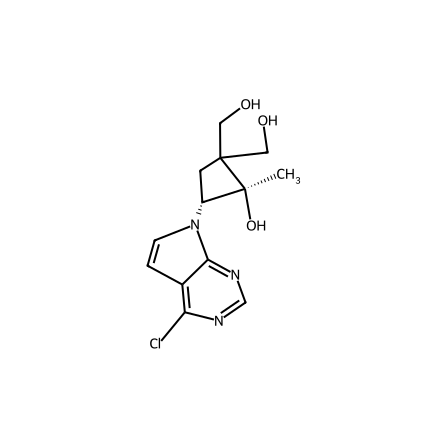 C[C@]1(O)[C@H](n2ccc3c(Cl)ncnc32)CC1(CO)CO